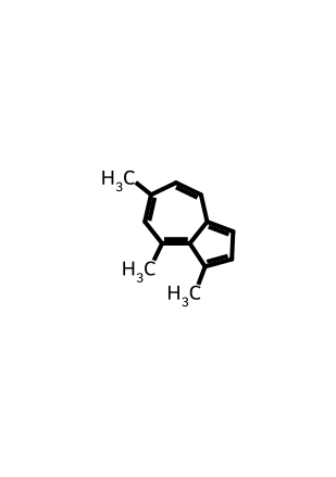 Cc1ccc2ccc(C)c-2c(C)c1